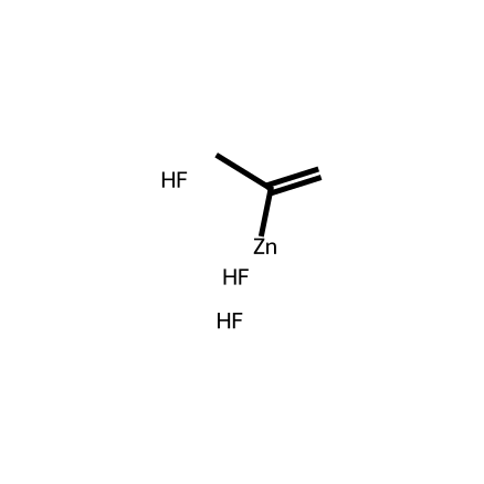 C=[C](C)[Zn].F.F.F